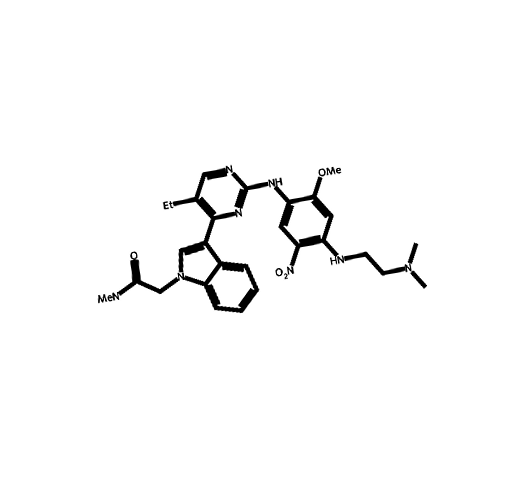 CCc1cnc(Nc2cc([N+](=O)[O-])c(NCCN(C)C)cc2OC)nc1-c1cn(CC(=O)NC)c2ccccc12